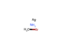 CBr.N.[Ag]